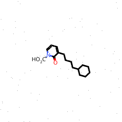 O=C(O)n1cccc(CCCCC2CCCCC2)c1=O